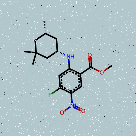 COC(=O)c1cc([N+](=O)[O-])c(F)cc1N[C@H]1C[C@@H](C)CC(C)(C)C1